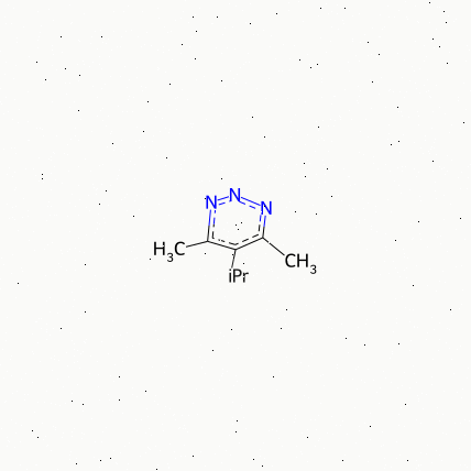 Cc1nnnc(C)c1C(C)C